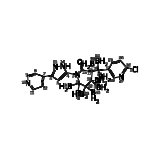 BC1(B)N(c2cc(-c3ccncc3)n[nH]2)C(=O)[C@@](B)(C(B)(B)c2ccc(Cl)nc2)C(B)(B)C1(B)B